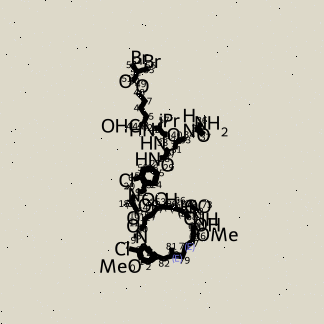 COc1cc2cc(c1Cl)N(C)C(=O)C[C@H](OC(=O)[C@H](C)N(C)C(=O)c1ccc(NC(=O)[C@H](CCCNC(N)=O)NC(=O)[C@@H](NC(C=O)CCCCOC(=O)C(CBr)CBr)C(C)C)cc1Cl)[C@]1(C)O[C@H]1[C@H](C)[C@@H]1C[C@@](O)(NC(=O)O1)[C@H](OC)/C=C/C=C(\C)C2